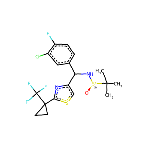 CC(C)(C)[S@@+]([O-])NC(c1ccc(F)c(Cl)c1)c1csc(C2(C(F)(F)F)CC2)n1